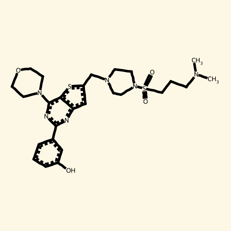 CN(C)CCCS(=O)(=O)N1CCN(Cc2cc3nc(-c4cccc(O)c4)nc(N4CCOCC4)c3s2)CC1